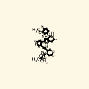 COc1c(F)cccc1Nc1c(-c2ccncc2C#CC2COCCN2C(=O)OC(C)(C)C)[nH]c2c1C(=O)NCC2